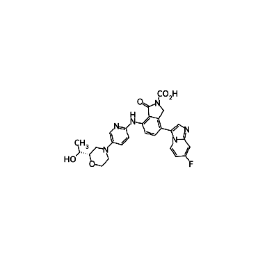 CC(O)[C@@H]1CN(c2ccc(Nc3ccc(-c4cnc5cc(F)ccn45)c4c3C(=O)N(C(=O)O)C4)nc2)CCO1